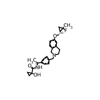 C[C@H](NC(=O)C1(O)CC1)c1ccc(CN2CCc3cc(OC[C@@H]4CC4(C)F)ccc3C2)cc1